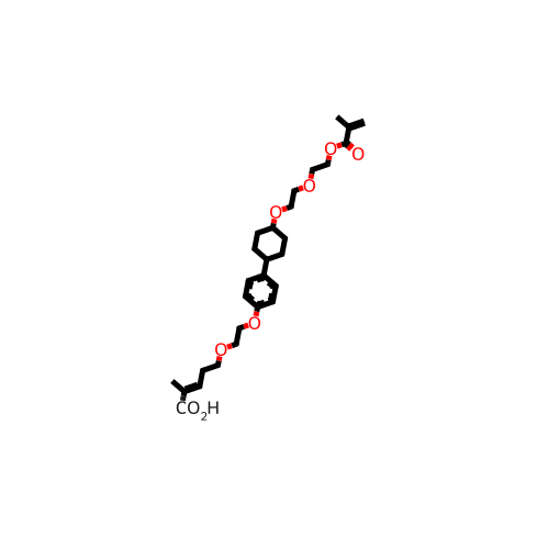 C=C(C)C(=O)OCCOCCOC1CCC(c2ccc(OCCOCCC=C(C)C(=O)O)cc2)CC1